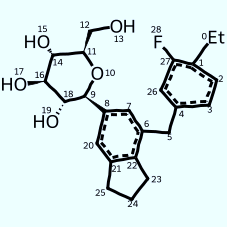 CCc1ccc(Cc2cc([C@@H]3O[C@H](CO)[C@@H](O)[C@H](O)[C@H]3O)cc3c2CCC3)cc1F